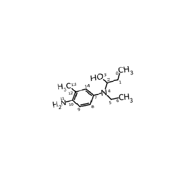 CCC(O)N(CC)c1ccc(N)c(C)c1